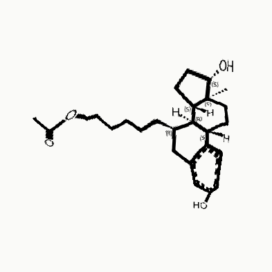 CC(=O)OCCCCCC[C@@H]1Cc2cc(O)ccc2[C@H]2CC[C@]3(C)[C@@H](O)CC[C@H]3[C@H]12